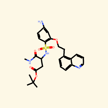 CNC(=O)C(CC(=O)OC(C)(C)C)NS(=O)(=O)c1ccc(N)cc1OCCc1cccc2ncccc12